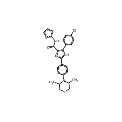 CC1COCC(C)N1c1ccc(-c2nc(C(=O)Nc3nccs3)c(-c3ccc(Cl)cc3)[nH]2)cc1